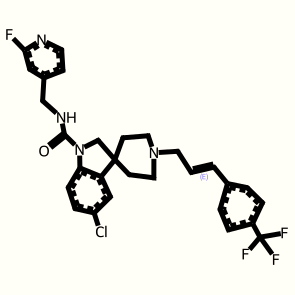 O=C(NCc1ccnc(F)c1)N1CC2(CCN(C/C=C/c3ccc(C(F)(F)F)cc3)CC2)c2cc(Cl)ccc21